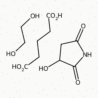 O=C(O)CCCC(=O)O.O=C1CC(O)C(=O)N1.OCCO